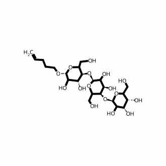 C=CCCCO[C@@H]1OC(CO)[C@@H](O[C@@H]2OC(CO)[C@H](O[C@H]3OC(CO)[C@H](O)[C@H](O)C3O)[C@H](O)C2O)[C@H](O)C1O